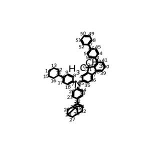 CC1(C)c2cc(N(c3ccc(C4CCCCC4)cc3)c3ccc(C4C5CC6CC(C5)CC4C6)cc3)ccc2-c2cccc(-c3ccc(-c4ccccc4)cc3)c21